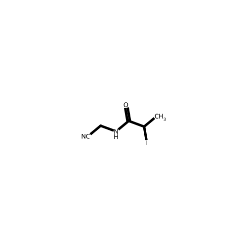 CC(I)C(=O)NCC#N